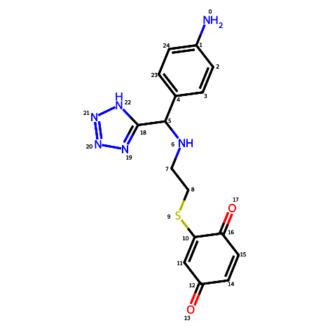 Nc1ccc(C(NCCSC2=CC(=O)C=CC2=O)c2nnn[nH]2)cc1